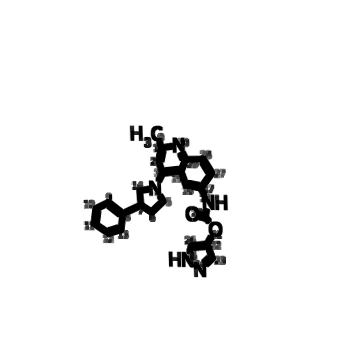 Cc1cc(N2CCC(c3ccccc3)C2)c2cc(NC(=O)Oc3cn[nH]c3)ccc2n1